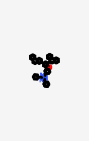 c1ccc(-c2nc(-c3ccccc3)nc(-c3ccc4oc5c(-c6cc7ccccc7c7ccccc67)cc(-c6ccc7c(ccc8ccccc87)c6)cc5c4c3)n2)cc1